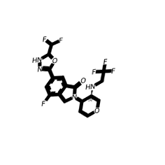 O=C1c2cc(C3=NNC(C(F)F)O3)cc(F)c2CN1C1CCOC[C@H]1NCC(F)(F)F